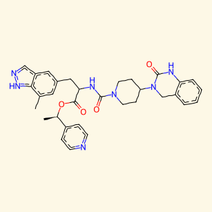 Cc1cc(CC(NC(=O)N2CCC(N3Cc4ccccc4NC3=O)CC2)C(=O)O[C@H](C)c2ccncc2)cc2cn[nH]c12